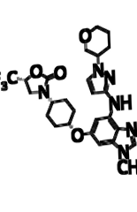 Cn1cnc2c(Nc3ccn(C4CCCOC4)n3)cc(O[C@H]3CC[C@@H](N4C[C@H](C(F)(F)F)OC4=O)CC3)cc21